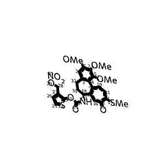 COc1cc2c(c(OC)c1OC)-c1ccc(SC)c(=O)cc1[C@@H](NC(=O)Oc1sccc1CO[N+](=O)[O-])CC2